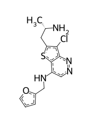 C[C@H](N)Cc1sc2c(NCc3ccco3)cnnc2c1Cl